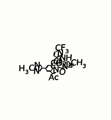 CC(=O)c1cn(CC(=O)N2C3C[C@]3(C)C[C@H]2C(=O)Nc2nc(C(F)(F)F)ccc2Cl)c2c(C)cc(-c3cnc(C)nc3)cc12